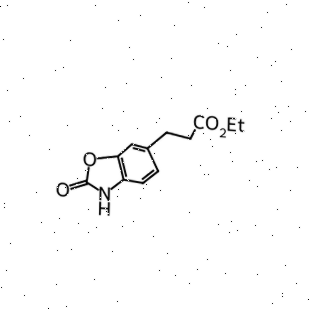 CCOC(=O)CCc1ccc2[nH]c(=O)oc2c1